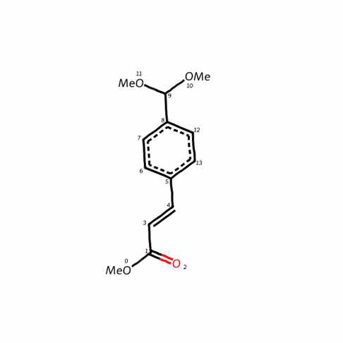 COC(=O)C=Cc1ccc(C(OC)OC)cc1